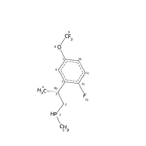 CPC[C@H](C)c1cc(OC(F)(F)F)ccc1F